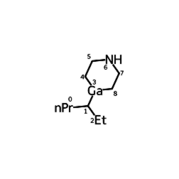 CCC[CH](CC)[Ga]1[CH2]CNC[CH2]1